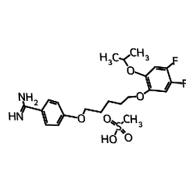 CC(C)Oc1cc(F)c(F)cc1OCCCCCOc1ccc(C(=N)N)cc1.CS(=O)(=O)O